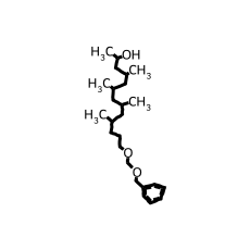 CC(O)CC(C)CC(C)CC(C)CC(C)CCCOCOCc1ccccc1